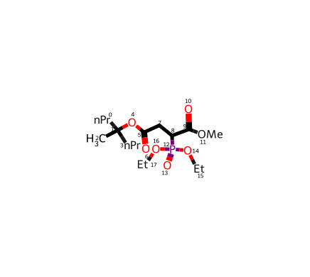 CCCC(C)(CCC)OC(=O)CC(C(=O)OC)P(=O)(OCC)OCC